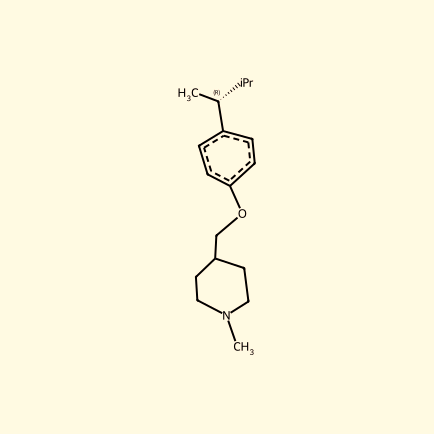 CC(C)[C@@H](C)c1ccc(OCC2CCN(C)CC2)cc1